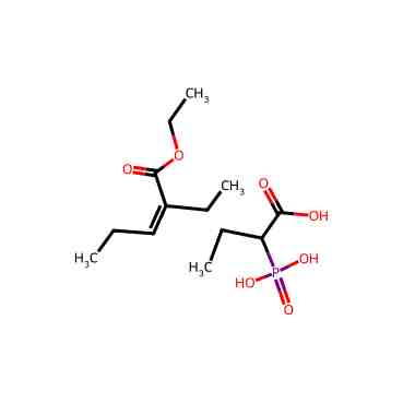 CCC(C(=O)O)P(=O)(O)O.CCC=C(CC)C(=O)OCC